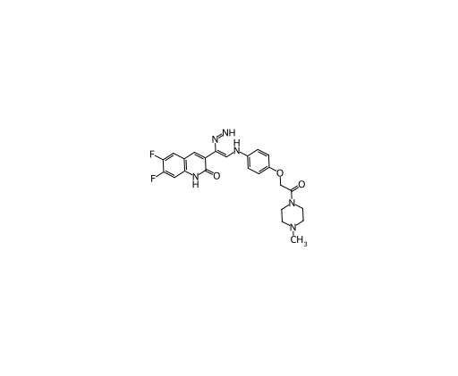 CN1CCN(C(=O)COc2ccc(N/C=C(\N=N)c3cc4cc(F)c(F)cc4[nH]c3=O)cc2)CC1